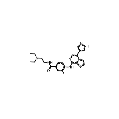 CCN(CC)CCNC(=O)c1ccc(Nc2ncc(-c3cn[nH]c3)n3ccnc23)c(F)c1